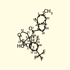 Cc1cnc2c(C(=O)N[C@]3(c4ccc(C(F)(F)F)cc4F)CCOC[C@]3(C)O)ccn2c1